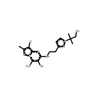 Cc1nn2c(N)c(C#N)c(NCCc3ccn(C(C)(C)CO)n3)nc2c1Cl